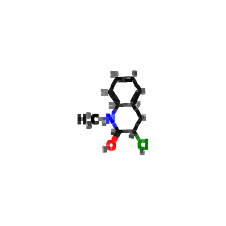 CN1C(=O)C(Cl)Cc2ccccc21